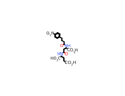 O=C(O)CCC(NC(=O)CC(NC(=O)CCCc1ccc([N+](=O)[O-])cc1)C(=O)O)C(=O)O